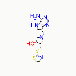 Nc1ncnc2c(CN3C[C@H](CSc4nccs4)[C@@H](O)C3)c[nH]c12